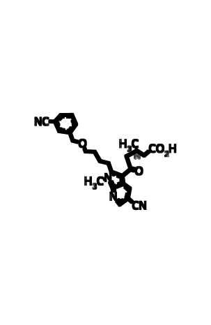 C[C@H](CC(=O)O)CC(=O)c1c(CCCCOCc2cccc(C#N)c2)n(C)c2ncc(C#N)cc12